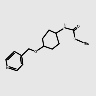 CC(C)(C)OC(=O)NC1CCC(OCc2ccncc2)CC1